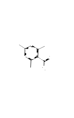 [CH2]c1cc(C)c(C(=N)N)c(C)c1